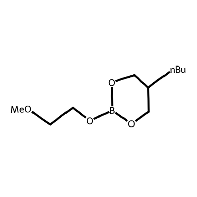 CCCCC1COB(OCCOC)OC1